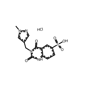 Cl.Cn1cc(Cn2c(=O)[nH]c3ccc(S(=O)(=O)O)cc3c2=O)cn1